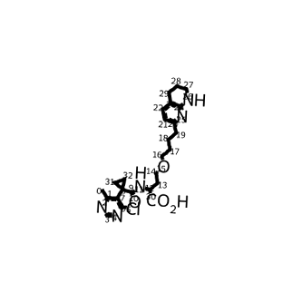 Cc1ncnc(Cl)c1C1(C(=O)NC(CCOCCCCc2ccc3c(n2)NCCC3)C(=O)O)CC1